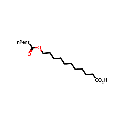 CCCCCC(=O)OCCCCCCCCCCC(=O)O